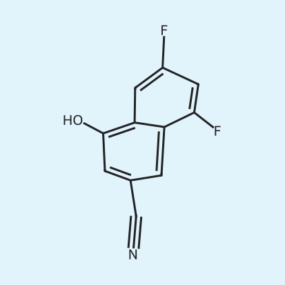 N#Cc1cc(O)c2cc(F)cc(F)c2c1